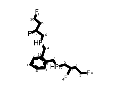 FCCC(F)CPCc1ccccc1CPCC(F)CCF